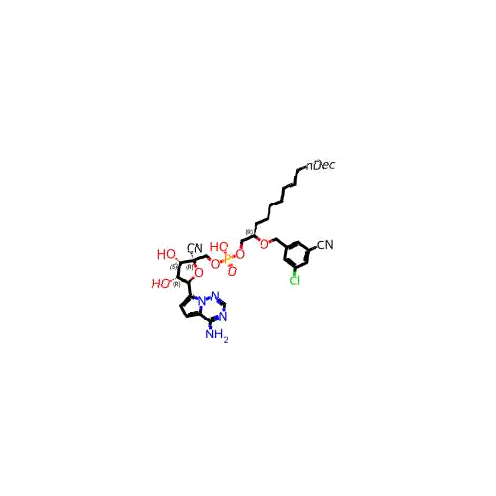 CCCCCCCCCCCCCCCCC[C@H](COP(=O)(O)OC[C@@]1(C#N)OC(c2ccc3c(N)ncnn23)[C@H](O)[C@@H]1O)OCc1cc(Cl)cc(C#N)c1